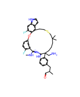 CN/C1=N\C(=N)C(CN)(c2cccc(CC(C)C=O)c2)CCCC(C)(C)CSCCc2c(c(F)cc3[nH]ccc23)Oc2ccc(F)c1c2